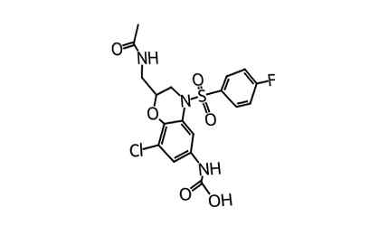 CC(=O)NCC1CN(S(=O)(=O)c2ccc(F)cc2)c2cc(NC(=O)O)cc(Cl)c2O1